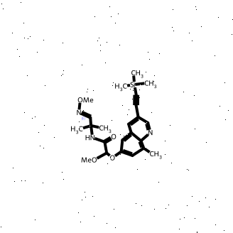 CO/N=C/C(C)(C)NC(=O)C(OC)Oc1cc(C)c2ncc(C#C[Si](C)(C)C)cc2c1